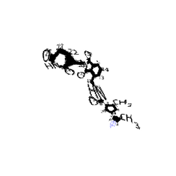 C/C=C\[C@H]1CC(C)[C@@H](C(=O)NCc2cccc3c2C(=O)N(C2CCC(=O)NC2=O)C3=O)C1